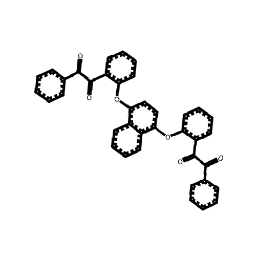 O=C(C(=O)c1ccccc1Oc1ccc(Oc2ccccc2C(=O)C(=O)c2ccccc2)c2ccccc12)c1ccccc1